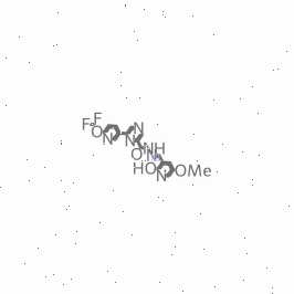 COc1cnc(O)c(/C=N/NC(=O)c2cncc(-c3ccc(OC(F)F)nc3)n2)c1